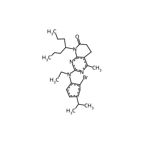 CCCC(CCC)N1C(=O)CCc2c(C)nc(N(CC)c3ccc(C(C)C)cc3Br)nc21